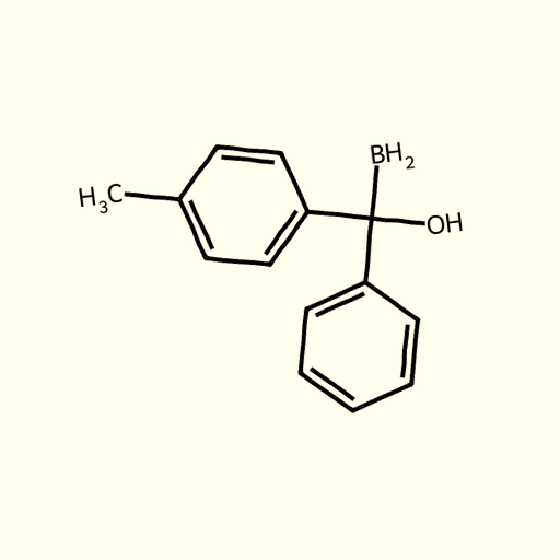 BC(O)(c1ccccc1)c1ccc(C)cc1